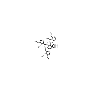 CCCc1cccc(CC(C)c2ccc(O)c(C(C)Cc3cccc(CCC)c3CCC)c2C(C)Cc2cccc(CCC)c2CCC)c1CCC